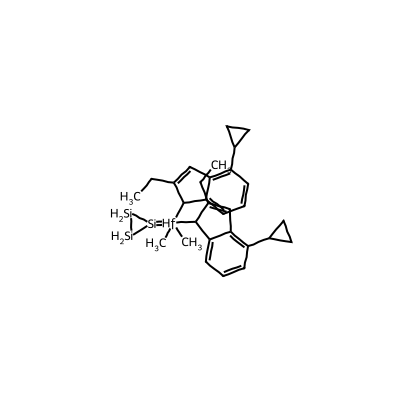 CCC1=Cc2c(C3CC3)cccc2[CH]1[Hf]([CH3])([CH3])([CH]1C(CC)=Cc2c(C3CC3)cccc21)=[Si]1[SiH2][SiH2]1